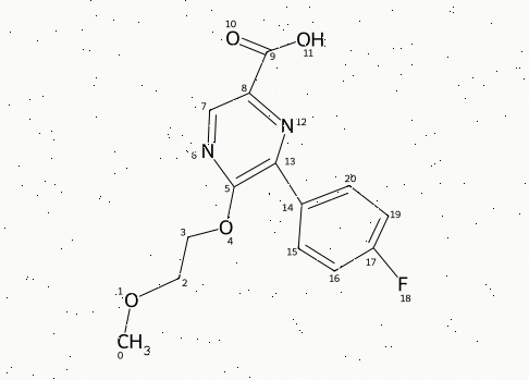 COCCOc1ncc(C(=O)O)nc1-c1ccc(F)cc1